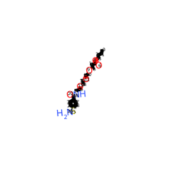 CCCCOC(=O)CCOCCOCCOCCNC(=O)c1ccc(SN)cc1